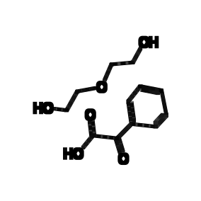 O=C(O)C(=O)c1ccccc1.OCCOCCO